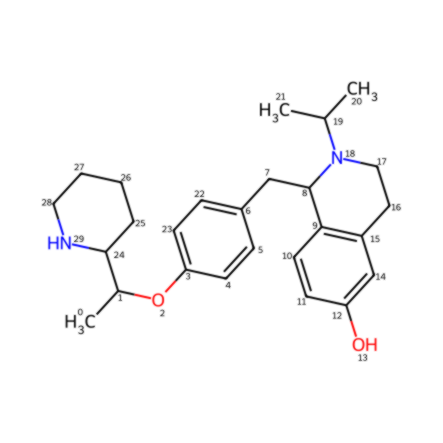 CC(Oc1ccc(CC2c3ccc(O)cc3CCN2C(C)C)cc1)C1CCCCN1